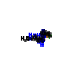 CCNCc1cncc(-c2cnc3[nH]nc(-c4nc5c(-c6ccc(F)s6)cncc5[nH]4)c3c2)c1